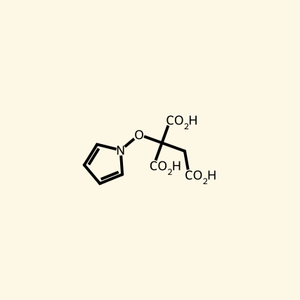 O=C(O)CC(On1cccc1)(C(=O)O)C(=O)O